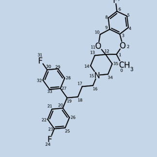 CC1Oc2ccc(F)cc2COC12CCN(CCCC(c1ccc(F)cc1)c1ccc(F)cc1)CC2